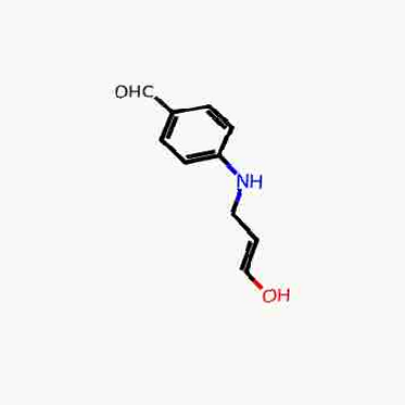 O=Cc1ccc(NCC=CO)cc1